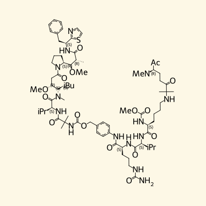 CC[C@H](C)[C@@H]([C@@H](CC(=O)N1CCC[C@H]1[C@H](OC)[C@@H](C)C(=O)N[C@@H](Cc1ccccc1)c1nccs1)OC)N(C)C(=O)[C@@H](NC(=O)C(C)(C)NC(=O)OCc1ccc(NC(=O)[C@H](CCCNC(N)=O)NC(=O)[C@@H](NC(=O)[C@H](CCCCNC(C)(C)C(=O)CC[C@@H](NC)C(C)=O)NC(=O)OC)C(C)C)cc1)C(C)C